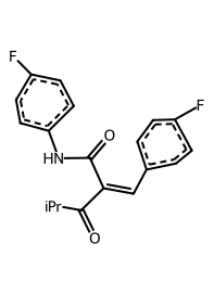 CC(C)C(=O)C(=Cc1ccc(F)cc1)C(=O)Nc1ccc(F)cc1